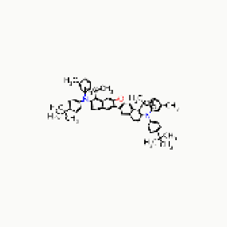 CC1=CC(N(c2ccc(C(C)(C)C)cc2)c2ccc3cc4c(cc3c2C(C)C)oc2cc3c(C(C)C)c(N(c5ccc(C(C)(C)C)cc5)c5cccc(C)c5)ccc3cc24)CC=C1